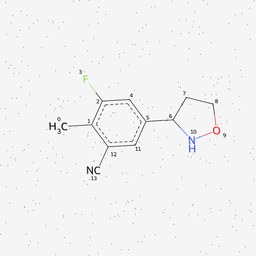 Cc1c(F)cc(C2CCON2)cc1C#N